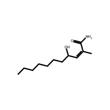 CCCCCCCC(O)C=C(C)C(N)=O